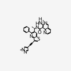 C[C@@H](NC(=O)c1c(N)ncc2cccnc12)c1cc2scc(C#Cc3cnn(C)c3)c2nc1-c1ccccc1